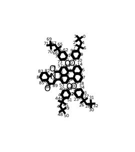 CC(C)(C)CC(C)(C)c1ccc(Oc2ccc3ccc(Oc4ccc(C(C)(C)CC(C)(C)C)cc4)c4c5c(Oc6ccc(C(C)(C)CC(C)(C)C)cc6)cc6c7c(cc(Oc8ccc(C(C)(C)CC(C)(C)C)cc8)c(c2c34)c57)c(=O)n2c3ccccc3c(=O)cc62)cc1